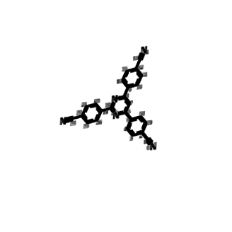 N#Cc1ccc(-c2cc(-c3ccc(C#N)cc3)nc(-c3ccc(C#N)cc3)n2)cc1